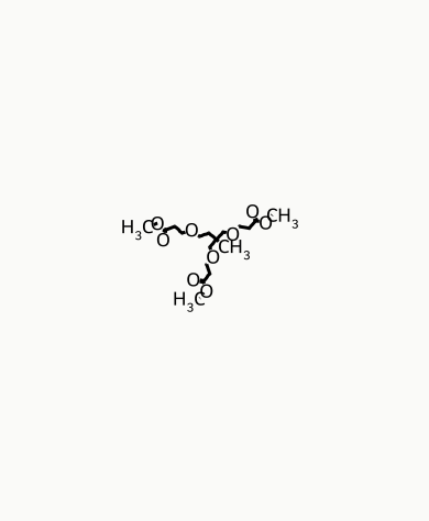 COC(=O)CCOCCC(C)(COCCC(=O)OC)COCCC(=O)OC